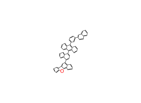 c1cc(-c2ccc3ccccc3c2)cc(-c2c3ccccc3c(-c3ccc(-c4cc5c6ccccc6oc5c5ccccc45)c4ccccc34)c3ccccc23)c1